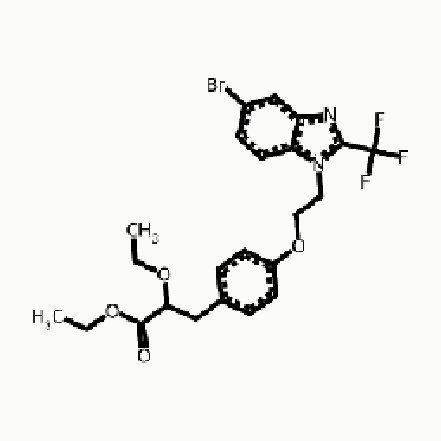 CCOC(=O)C(Cc1ccc(OCCn2c(C(F)(F)F)nc3cc(Br)ccc32)cc1)OCC